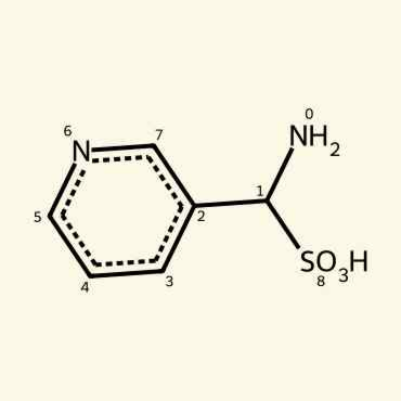 NC(c1cccnc1)S(=O)(=O)O